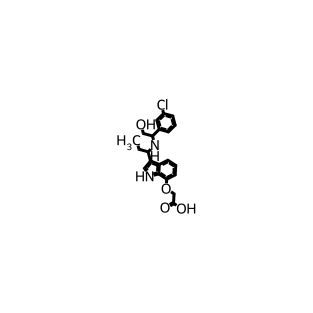 CCC(NC(CO)c1cccc(Cl)c1)c1c[nH]c2c(OCC(=O)O)cccc12